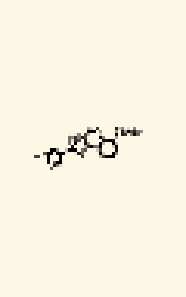 COc1cccc2c1ncn1nc(-c3cn[nH]c3)nc21